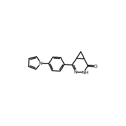 O=C1NN=C(c2ccc(-n3cccc3)cc2)C2CC12